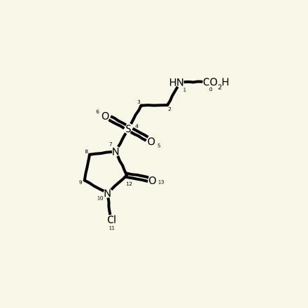 O=C(O)NCCS(=O)(=O)N1CCN(Cl)C1=O